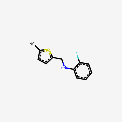 N#Cc1ccc(CNc2ccccc2F)s1